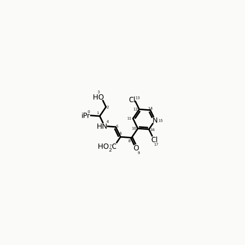 CC(C)C(CO)NC=C(C(=O)O)C(=O)c1cc(Cl)cnc1Cl